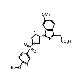 CCOc1ncc(S(=O)(=O)N2C[C@@H](C)[C@@H](n3nc(CC(=O)O)c4ccc(OC)cc43)C2)cn1